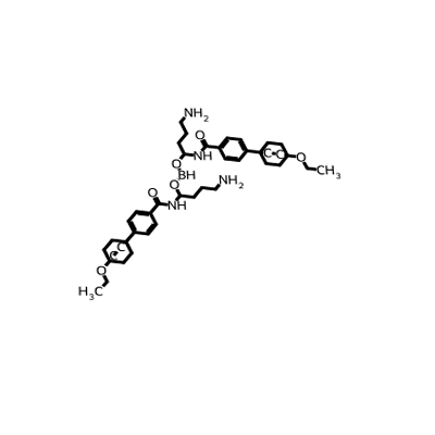 CCOC12CCC(c3ccc(C(=O)NC(CCCN)OBOC(CCCN)NC(=O)c4ccc(C56CCC(OCC)(CC5)CC6)cc4)cc3)(CC1)CC2